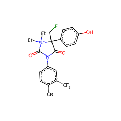 CC[N+]1(CC)C(=O)N(c2ccc(C#N)c(C(F)(F)F)c2)C(=O)C1(CF)c1ccc(O)cc1